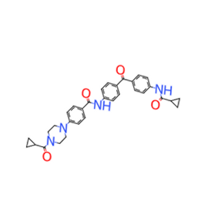 O=C(Nc1ccc(C(=O)c2ccc(NC(=O)C3CC3)cc2)cc1)c1ccc(N2CCN(C(=O)C3CC3)CC2)cc1